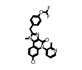 Cc1ncccc1-n1c(=O)c2nc(Cc3ccc(OC(F)F)cc3)n(C)c2c2ccc(Cl)cc21